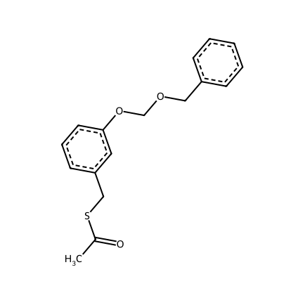 CC(=O)SCc1cccc(OCOCc2ccccc2)c1